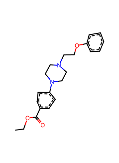 CCOC(=O)c1ccc(N2CCN(CCOc3ccccc3)CC2)cc1